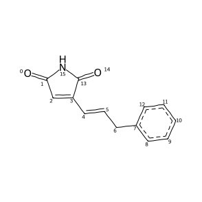 O=C1C=C(C=CCc2ccccc2)C(=O)N1